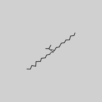 CCCCCCCCCC[Si](CCCCCCCCCC)C(C)C